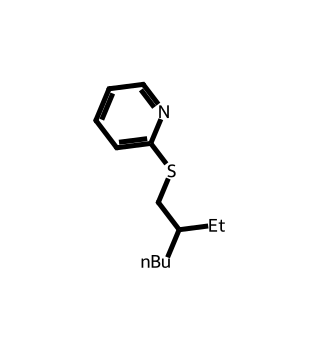 CCCCC(CC)CSc1ccccn1